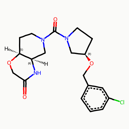 O=C1CO[C@H]2CCN(C(=O)N3CC[C@@H](OCc4cccc(Cl)c4)C3)C[C@H]2N1